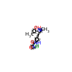 Cc1ccc(O)c(-c2nn(C)cc2C#Cc2ccc(NC(=O)C3COCCN3Cl)cc2)c1